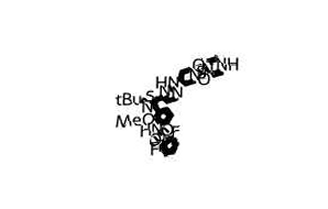 COc1c(NS(=O)(=O)c2c(F)cccc2F)cccc1-c1nc(C(C)(C)C)sc1-c1ccnc(NC2CCN(S(=O)(=O)N3CCNCC3)CC2)n1